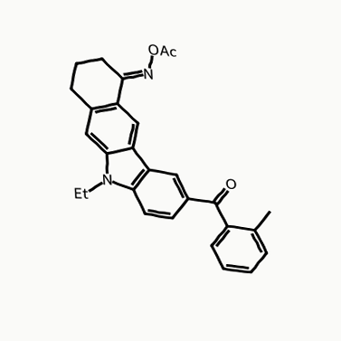 CCn1c2ccc(C(=O)c3ccccc3C)cc2c2cc3c(cc21)CCC/C3=N\OC(C)=O